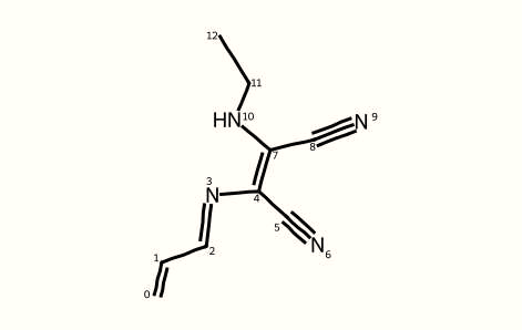 C=CC=NC(C#N)=C(C#N)NCC